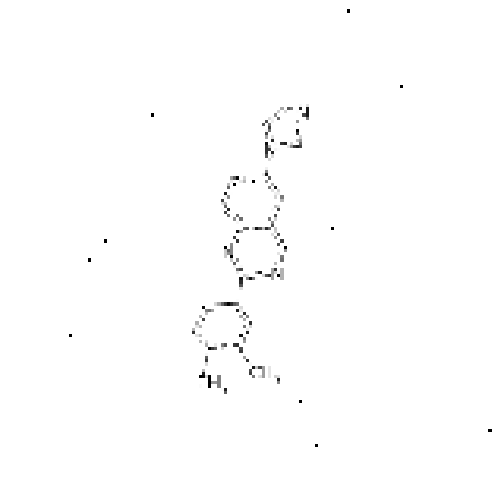 Cc1ccc(-c2ncc3cc(-n4ccnc4)ccc3n2)cc1C